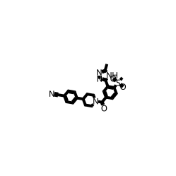 Cc1nnc(-c2cc(C(=O)N3CCC(c4ccc(C#N)cc4)CC3)ccc2S(C)(=O)=O)[nH]1